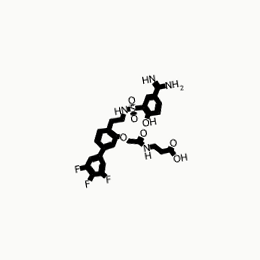 N=C(N)c1ccc(O)c(S(=O)(=O)NCCc2ccc(-c3cc(F)c(F)c(F)c3)cc2OCC(=O)NCCC(=O)O)c1